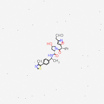 Cc1ncsc1-c1ccc([C@H](C)NC(=O)[C@@H]2C[C@@H](O)CN2C(=O)[C@@H](c2cc(CC=O)no2)C(C)C)cc1